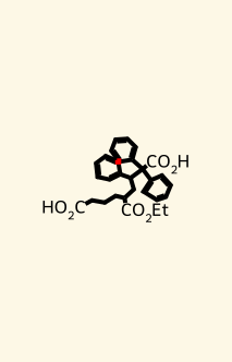 CCOC(=O)C(CCCC(=O)O)CC(c1ccccc1)C(C(=O)O)(c1ccccc1)c1ccccc1